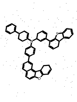 C1=Cc2oc3ccc4ccc(-c5ccc(N(C6=CCC(c7ccccc7)CC6)C6C=C(C7=C8Sc9ccccc9C8CC=C7)C=CC6)cc5)cc4c3c2CC1